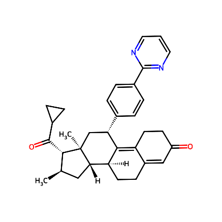 C[C@@H]1C[C@H]2[C@@H]3CCC4=CC(=O)CCC4=C3[C@@H](c3ccc(-c4ncccn4)cc3)C[C@]2(C)[C@H]1C(=O)C1CC1